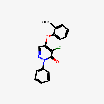 O=Cc1ccccc1Oc1cnn(-c2ccccc2)c(=O)c1Cl